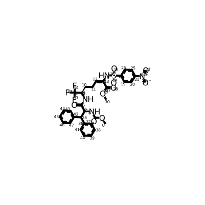 COC(=O)N[C@H](C(=O)N[C@H](CCC=C(NS(=O)(=O)c1ccc([N+](=O)[O-])cc1)C(=O)OC)C(F)(F)F)C(c1ccccc1)c1ccccc1